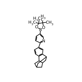 CC1(C)OB(c2ccc(-c3ccc4c(c3)C3CC5CC(C3)C4C5)nc2)OC1(C)C